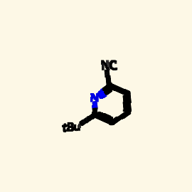 [C-]#[N+]c1cccc(C(C)(C)C)n1